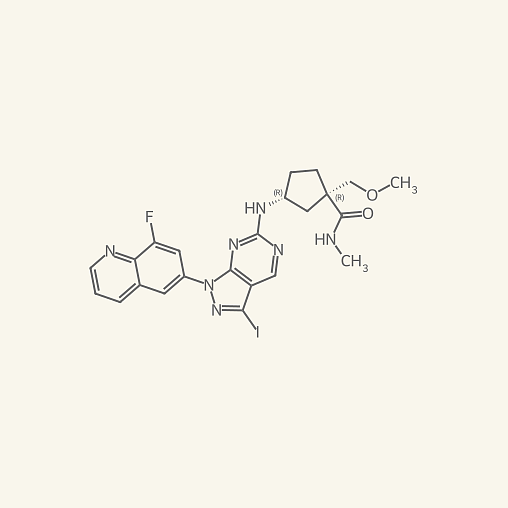 CNC(=O)[C@]1(COC)CC[C@@H](Nc2ncc3c(I)nn(-c4cc(F)c5ncccc5c4)c3n2)C1